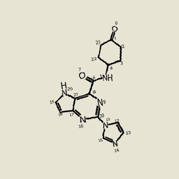 O=C1CCC(NC(=O)c2nc(-n3ccnc3)nc3cc[nH]c23)CC1